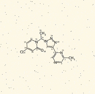 Cc1cncc(-c2cn(C(C)n3ccc(Cl)cc3=O)nn2)n1